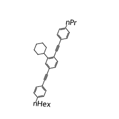 CCCCCCc1ccc(C#Cc2ccc(C#Cc3ccc(CCC)cc3)c(C3CCCCC3)c2)cc1